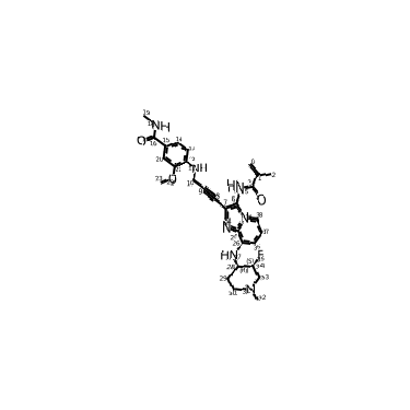 C=C(C)C(=O)Nc1c(C#CCNc2ccc(C(=O)NC)cc2OC)nc2c(N[C@@H]3CCN(C)C[C@@H]3F)cccn12